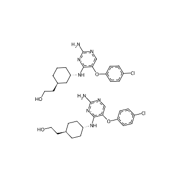 Nc1ncc(Oc2ccc(Cl)cc2)c(N[C@H]2CCC[C@H](CCO)C2)n1.Nc1ncc(Oc2ccc(Cl)cc2)c(N[C@H]2CC[C@H](CCO)CC2)n1